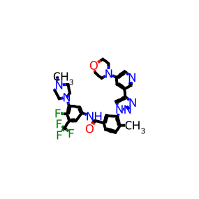 Cc1ccc(C(=O)Nc2cc(N3CCN(C)CC3)c(F)c(C(F)(F)F)c2)cc1-n1cc(-c2cncc(N3CCOCC3)c2)nn1